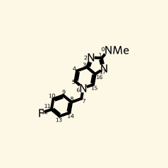 CNc1nc2ccn(Cc3ccc(F)cc3)cc-2n1